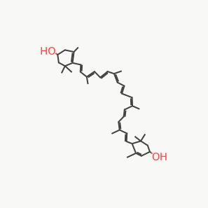 CC(C=CC=C(C)C=CC1=C(C)CC(O)CC1(C)C)=CC=CC=C(C)C=CC=C(C)C=CC1C(C)=CC(O)CC1(C)C